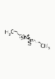 CCC[CH2][Sn][S][Sn](=[S])[CH2]CCC